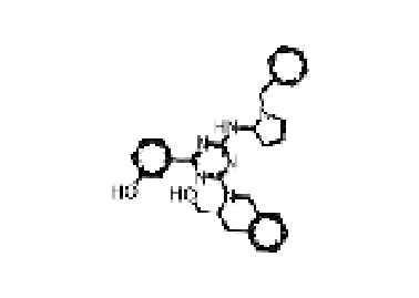 OC[C@@H]1Cc2ccccc2CN1c1nc(NC2CCCN2Cc2ccccc2)nc(-c2cccc(O)c2)n1